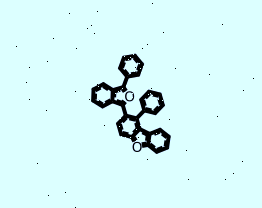 c1ccc(-c2oc(-c3ccc4oc5ccccc5c4c3-c3ccccc3)c3ccccc23)cc1